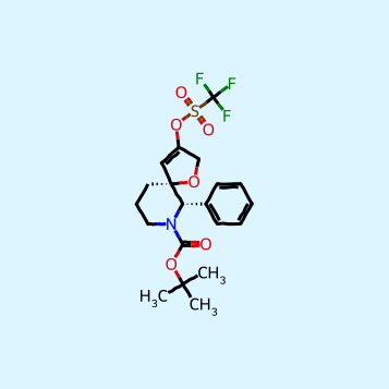 CC(C)(C)OC(=O)N1CCC[C@@]2(C=C(OS(=O)(=O)C(F)(F)F)CO2)[C@@H]1c1ccccc1